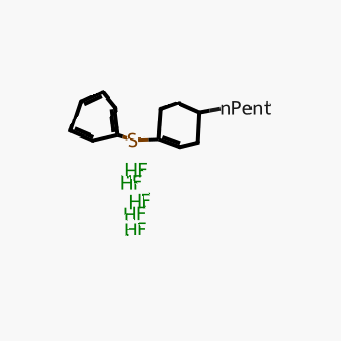 CCCCCC1CC=C(Sc2ccccc2)CC1.F.F.F.F.F